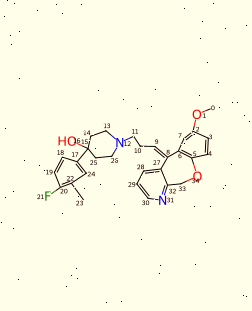 COc1ccc2c(c1)/C(=C/CCN1CCC(O)(c3ccc(F)c(C)c3)CC1)c1cccnc1CO2